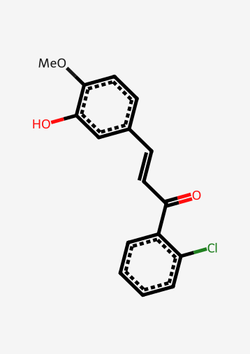 COc1ccc(/C=C/C(=O)c2ccccc2Cl)cc1O